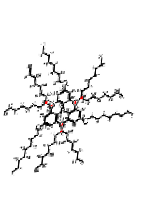 CCCCCCCCOc1cc(OCCCCCCCC)c(P(c2c(OCCCCCCCC)cc(OCCCCCCCC)cc2OCCCCCCCC)c2c(OCCCCCCCC)cc(OCCCCCCCC)cc2OCCCCCCCC)c(OCCCCCCCC)c1